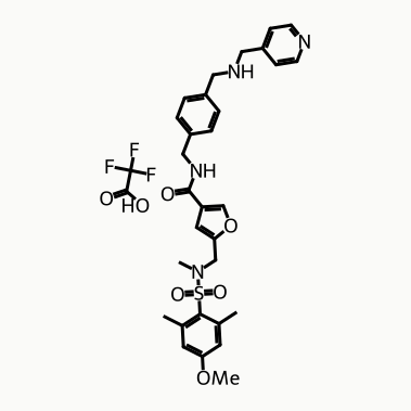 COc1cc(C)c(S(=O)(=O)N(C)Cc2cc(C(=O)NCc3ccc(CNCc4ccncc4)cc3)co2)c(C)c1.O=C(O)C(F)(F)F